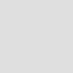 CC(C)c1cc2c(s1)C(=O)CCCC2